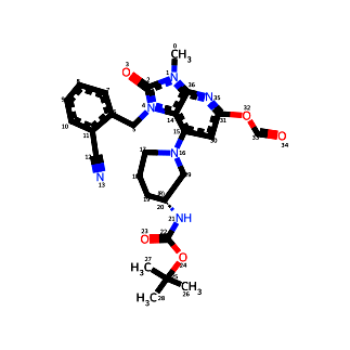 Cn1c(=O)n(Cc2ccccc2C#N)c2c(N3CCC[C@@H](NC(=O)OC(C)(C)C)C3)cc(OC=O)nc21